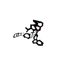 CC(C)C1=Cc2c(ccc3ccccc23)[CH]1[Ti+2]1([CH]2C(C(C)C)=Cc3c2ccc2ccccc32)[CH]2CCCC[CH]21.[Cl-].[Cl-]